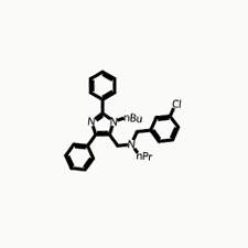 CCCCn1c(-c2ccccc2)nc(-c2ccccc2)c1CN(CCC)Cc1cccc(Cl)c1